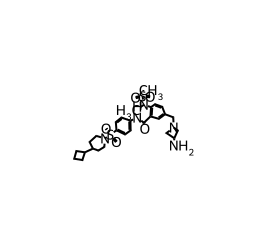 CN(c1ccc(CN2CC(N)C2)cc1C(=O)Nc1ccc(S(=O)(=O)N2CCC(C3CCC3)CC2)cc1)S(C)(=O)=O